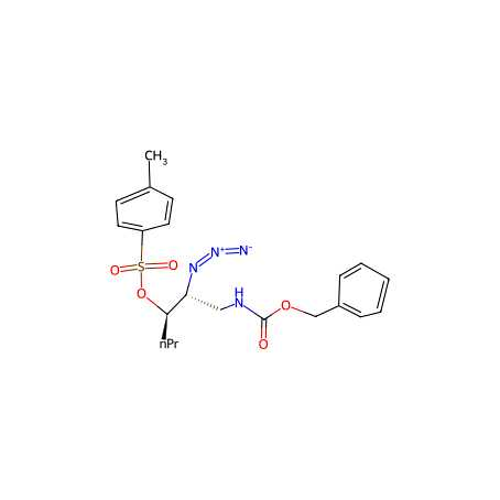 CCC[C@@H](OS(=O)(=O)c1ccc(C)cc1)[C@@H](CNC(=O)OCc1ccccc1)N=[N+]=[N-]